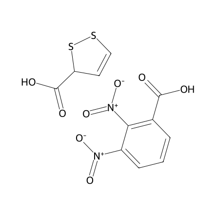 O=C(O)C1C=CSS1.O=C(O)c1cccc([N+](=O)[O-])c1[N+](=O)[O-]